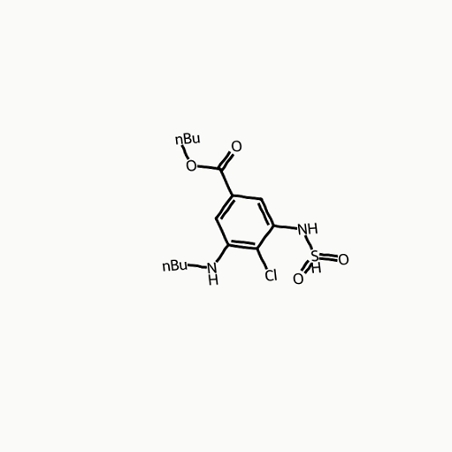 CCCCNc1cc(C(=O)OCCCC)cc(N[SH](=O)=O)c1Cl